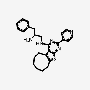 N[C@H](CNc1nc(-c2ccncc2)nc2sc3c(c12)CCCCCC3)Cc1ccccc1